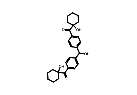 O=C(c1ccc(C(O)c2ccc(C(=O)C3(O)CCCCC3)cc2)cc1)C1(O)CCCCC1